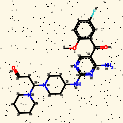 COc1ccc(F)cc1C(=O)c1cnc(NC2CCN(C(CC=O)N3CCCCC3)CC2)nc1N